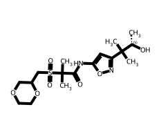 C[C@H](O)C(C)(C)c1cc(NC(=O)C(C)(C)S(=O)(=O)CC2COCCO2)on1